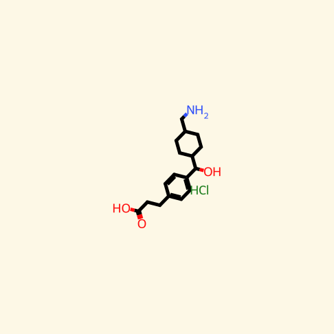 Cl.NCC1CCC(C(O)c2ccc(CCC(=O)O)cc2)CC1